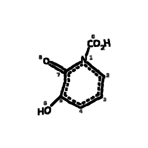 O=C(O)n1cccc(O)c1=O